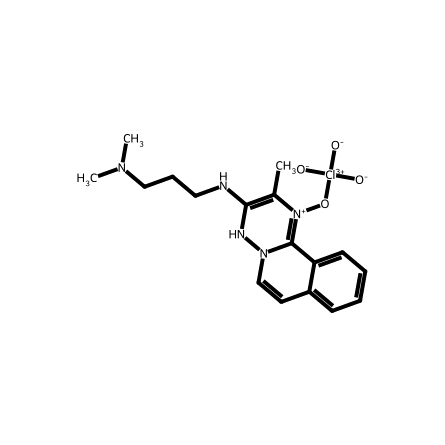 CC1=C(NCCCN(C)C)NN2C=Cc3ccccc3C2=[N+]1O[Cl+3]([O-])([O-])[O-]